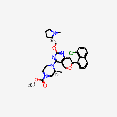 C[C@H]1CN(C(=O)OC(C)(C)C)CCN1c1nc(OC[C@@H]2CCCN2C)nc2c1COC(c1cccc3cccc(Cl)c13)C2